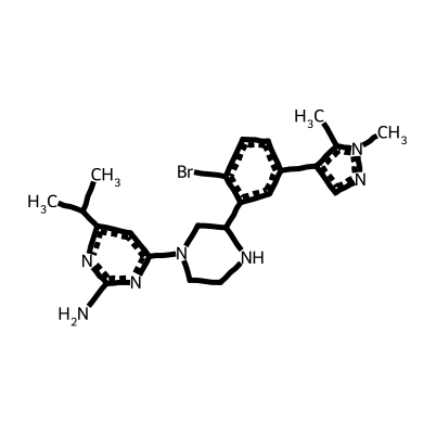 Cc1c(-c2ccc(Br)c(C3CN(c4cc(C(C)C)nc(N)n4)CCN3)c2)cnn1C